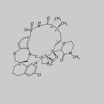 CO[C@]1(C2OCCN(C)C2=O)/C=C/C[C@H](C)[C@@H](C)C(=O)NS(=O)(=O)c2ccc3c(c2)N(C[C@@H]2CC[C@H]21)C[C@@]1(CCCc2cc(Cl)ccc21)CO3